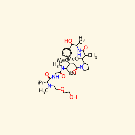 CCC(C)C(C(CC(=O)N1CCCC1C(OC)C(C)C(=O)NC(C)C(O)c1ccccc1)OC)N(C)C(=O)CNC(=O)C(C(C)C)N(C)CCOCCO